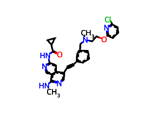 CNc1ncc(C#Cc2cccc(CN(C)CCOc3cccc(Cl)n3)c2)c2cc(NC(=O)C3CC3)ncc12